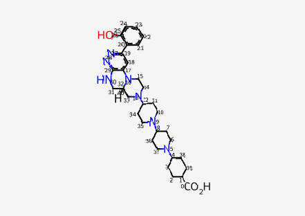 O=C(O)[C@H]1CC[C@@H](N2CCC(N3CCC(N4CCN5c6cc(-c7ccccc7O)nnc6NC[C@H]5C4)CC3)CC2)CC1